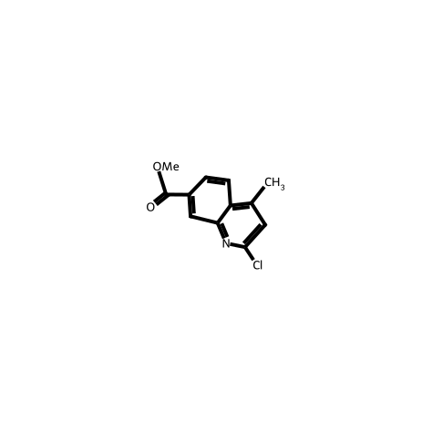 COC(=O)c1ccc2c(C)cc(Cl)nc2c1